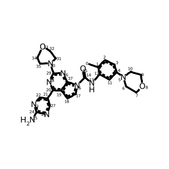 Cc1ccc(N2CCOCC2)cc1NC(=O)n1ccc2c(-c3cnc(N)nc3)nc(N3CCOCC3)nc21